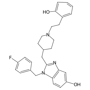 Oc1ccc2c(c1)nc(CC1CCN(CCc3ccccc3O)CC1)n2Cc1ccc(F)cc1